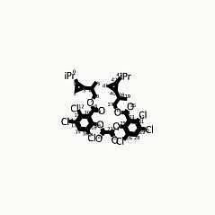 CC(C)C1CC1C(C)COC(=O)c1c(Cl)c(Cl)cc(Cl)c1OC(=O)C(=O)Oc1c(Cl)cc(Cl)c(Cl)c1C(=O)OCC(C)C1CC1C(C)C